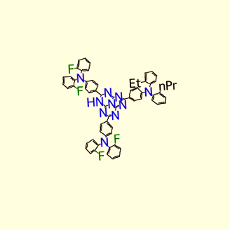 CCCc1ccccc1N(c1ccc(C2=NC3=NC(c4ccc(N(c5ccccc5F)c5ccccc5F)cc4)NC4=NC(c5ccc(N(c6ccccc6F)c6ccccc6F)cc5)=NC(=N2)N34)cc1)c1ccccc1CC